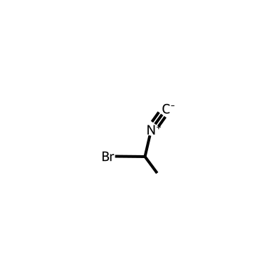 [C-]#[N+]C(C)Br